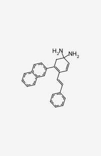 NC1(N)C=CC(C=Cc2ccccc2)=C(c2ccc3ccccc3c2)C1